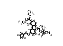 CCOC(=O)c1ncc2c(c1COC)c1cc(OCc3cncs3)ccc1n2C(=O)OC(C)(C)C